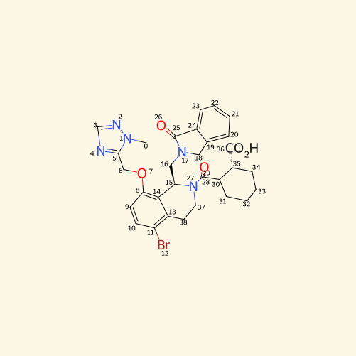 Cn1ncnc1COc1ccc(Br)c2c1[C@@H](CN1Cc3ccccc3C1=O)N(C(=O)C1CCCC[C@H]1C(=O)O)CC2